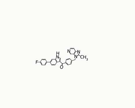 Cc1nc2ccncc2n1Cc1ccc(C(=O)c2c[nH]c3cc(-c4ccc(F)cc4)ccc23)cc1